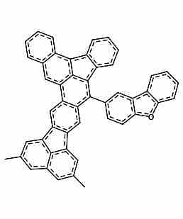 Cc1cc2cc(C)cc3c4cc5c(cc4c(c1)c23)c(-c1ccc2oc3ccccc3c2c1)c1c2ccccc2c2c3ccccc3cc5c12